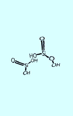 O=[Si](O)O.O=[Si](O)OO